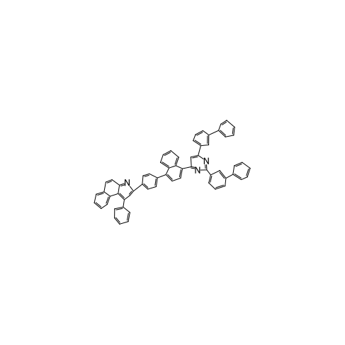 c1ccc(-c2cccc(-c3cc(-c4ccc(-c5ccc(-c6cc(-c7ccccc7)c7c(ccc8ccccc87)n6)cc5)c5ccccc45)nc(-c4cccc(-c5ccccc5)c4)n3)c2)cc1